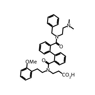 COc1ccccc1CCN(CCC(=O)O)C(=O)c1ccccc1-c1ccccc1C(=O)N(CCN(C)C)Cc1ccccc1